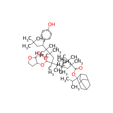 CC(C)C1(OC(=O)C(C)(CC(C)(C)C(C)(C)C(C)(CC(C)(C)C(C)(C)C(CC(C)(C)C)c2ccc(O)cc2)C(=O)OC2CCOC2=O)C(C)(C)C)C2CC3CC(C2)CC1C3